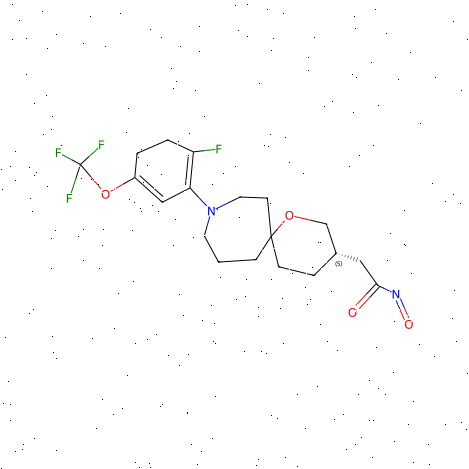 O=NC(=O)C[C@@H]1CCC2(CCCN(C3=C(F)CCC(OC(F)(F)F)=C3)CC2)OC1